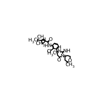 C[C@@H]1C[C@H](N2C(=N)N[C@](C)(c3cccc(NC(=O)C45CC(C(C)(C)C)(C4)C5)c3Cl)CC2=O)CCO1